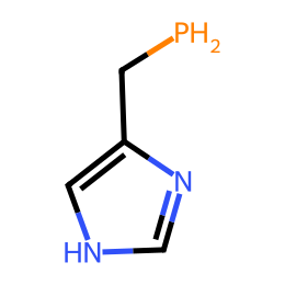 PCc1c[nH]cn1